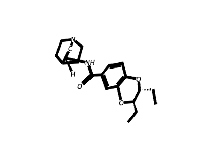 CC[C@H]1Oc2ccc(C(=O)N[C@H]3CN4CCC3CC4)cc2O[C@@H]1CC